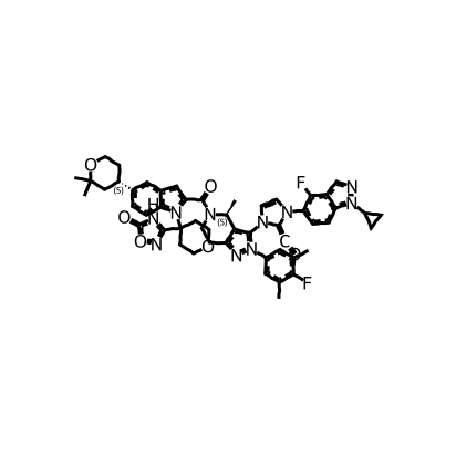 Cc1cc(-n2nc3c(c2N2C=CN(c4ccc5c(cnn5C5CC5)c4F)C2=C=O)[C@H](C)N(C(=O)c2cc4cc([C@H]5CCOC(C)(C)C5)ccc4n2C2(c4noc(=O)[nH]4)CCOCC2)CC3)cc(C)c1F